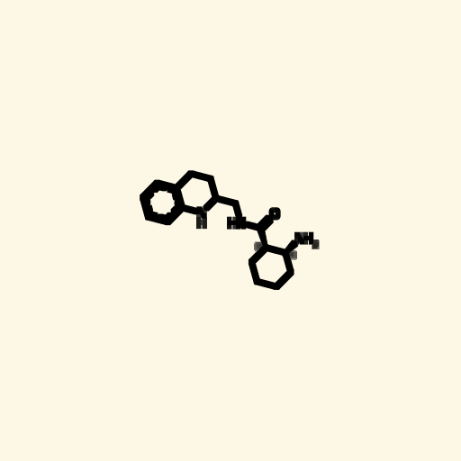 N[C@H]1CCCC[C@H]1C(=O)NCC1CCc2ccccc2N1